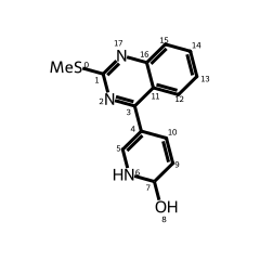 CSc1nc(C2=CNC(O)C=C2)c2ccccc2n1